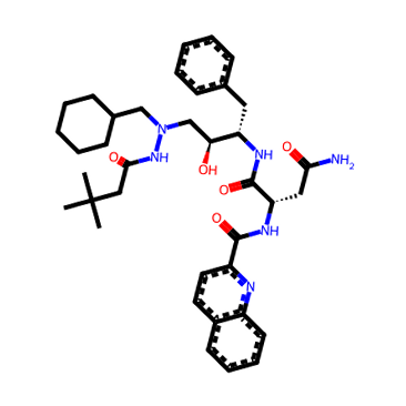 CC(C)(C)CC(=O)NN(CC1CCCCC1)C[C@H](O)[C@H](Cc1ccccc1)NC(=O)[C@H](CC(N)=O)NC(=O)c1ccc2ccccc2n1